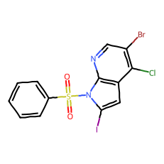 O=S(=O)(c1ccccc1)n1c(I)cc2c(Cl)c(Br)cnc21